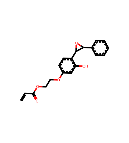 C=CC(=O)OCCOc1ccc(C2OC2c2ccccc2)c(O)c1